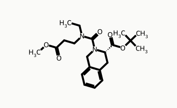 CCN(CCC(=O)OC)C(=O)N1Cc2ccccc2C[C@H]1C(=O)OC(C)(C)C